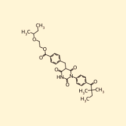 CCC(C)OCCOC(=O)c1ccc(CC2C(=O)NC(=O)N(c3ccc(C(=O)C(C)(C)CC)cc3)C2=O)cc1